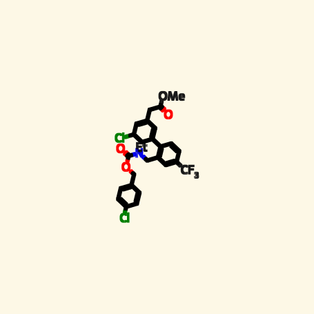 CCN(Cc1cc(C(F)(F)F)ccc1C1=CC(CC(=O)OC)=CC(Cl)C1)C(=O)OCc1ccc(Cl)cc1